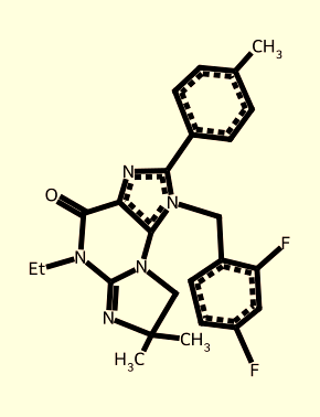 CCN1C(=O)c2nc(-c3ccc(C)cc3)n(Cc3ccc(F)cc3F)c2N2CC(C)(C)N=C12